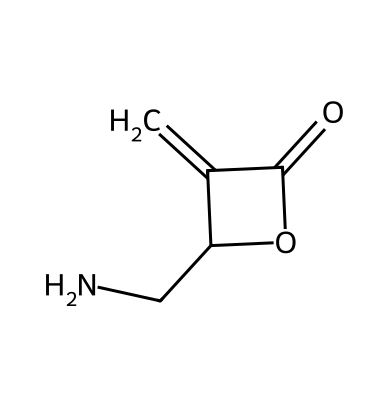 C=C1C(=O)OC1CN